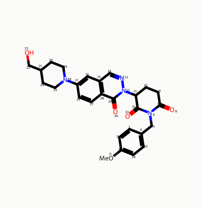 COc1ccc(CN2C(=O)CCC(n3ncc4cc(N5CCC(CO)CC5)ccc4c3=O)C2=O)cc1